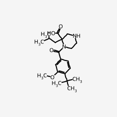 COc1cc(C(=O)N2CCNCC2(CC(C)C)C(=O)O)ccc1C(C)(C)C